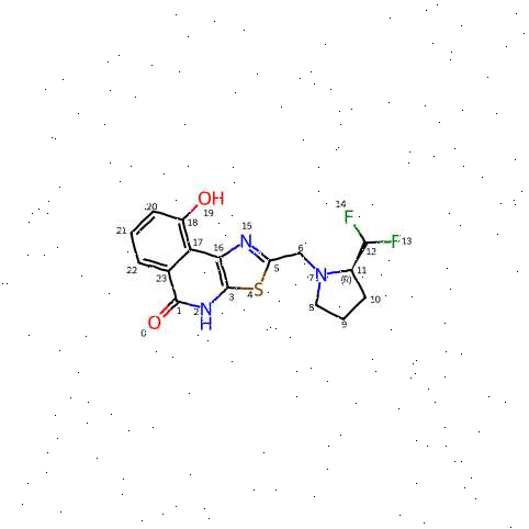 O=c1[nH]c2sc(CN3CCC[C@@H]3C(F)F)nc2c2c(O)cccc12